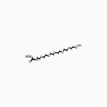 CCCOCCOCCOCCOCCOCCOCCNC(=O)OC(C)(C)C